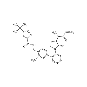 C=CC(=O)N(C)C1CCN(c2cnccc2-c2ccc(CNC(=O)c3cn(C(C)(C)C)nn3)c(C)c2)C1=O